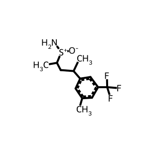 Cc1cc(C(C)CC(C)[S+](N)[O-])cc(C(F)(F)F)c1